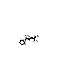 CCC/C(=C\C=C(/N)N1CCCC1)C(C)C